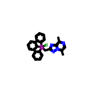 Cc1ncc(C)n2nc(CP(Cl)(c3ccccc3)(c3ccccc3)c3ccccc3)nc12